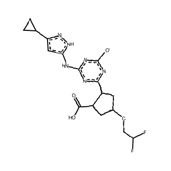 O=C(O)C1CC(OCC(F)F)CC1c1nc(Cl)nc(Nc2cc(C3CC3)n[nH]2)n1